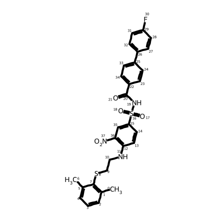 Cc1cccc(C)c1SCCNc1ccc(S(=O)(=O)NC(=O)c2ccc(-c3ccc(F)cc3)cc2)cc1[N+](=O)[O-]